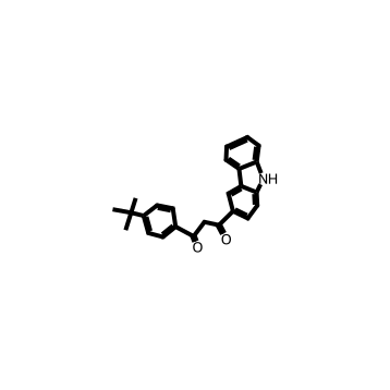 CC(C)(C)c1ccc(C(=O)CC(=O)c2ccc3[nH]c4ccccc4c3c2)cc1